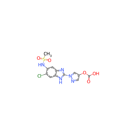 CS(=O)(=O)Nc1cc2nc(-n3cc(OC(=O)O)cn3)[nH]c2cc1Cl